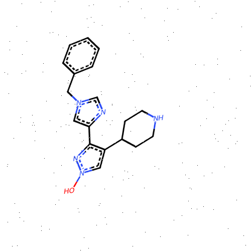 On1cc(C2CCNCC2)c(-c2cn(Cc3ccccc3)cn2)n1